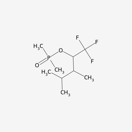 CC(C)C(C)C(OP(C)(C)=O)C(F)(F)F